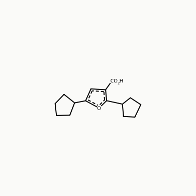 O=C(O)c1cc(C2CCCC2)oc1C1CCCC1